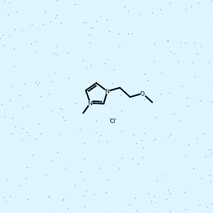 COCCn1cc[n+](C)c1.[Cl-]